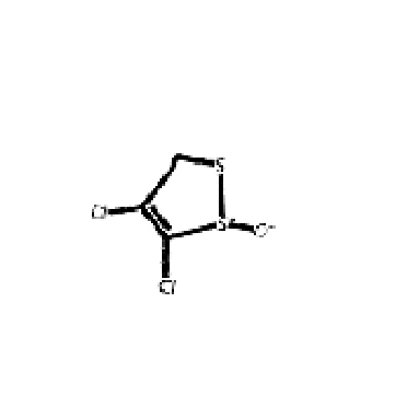 [O-][S+]1SCC(Cl)=C1Cl